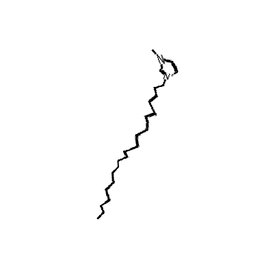 CCCCCCCCCCCCCCCCCCCC[n+]1ccn(C)c1